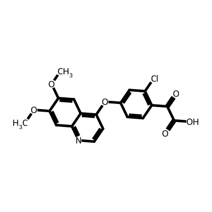 COc1cc2nccc(Oc3ccc(C(=O)C(=O)O)c(Cl)c3)c2cc1OC